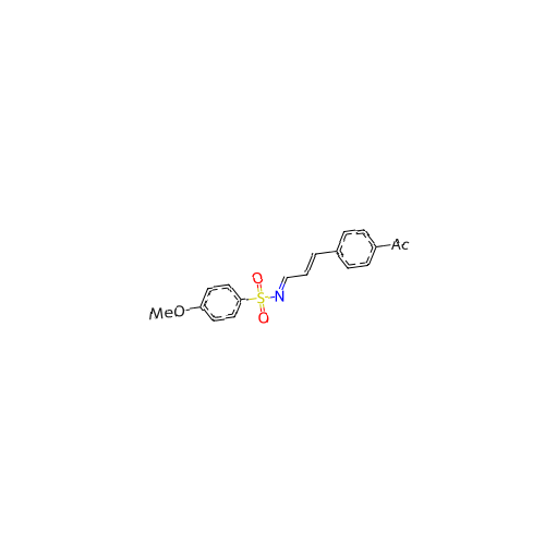 COc1ccc(S(=O)(=O)N=C/C=C/c2ccc(C(C)=O)cc2)cc1